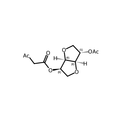 CC(=O)CC(=O)O[C@@H]1CO[C@H]2[C@@H]1OC[C@@H]2OC(C)=O